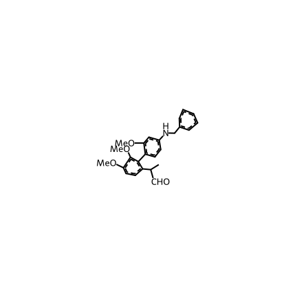 COc1cc(NCc2ccccc2)ccc1-c1c(C(C)C=O)ccc(OC)c1OC